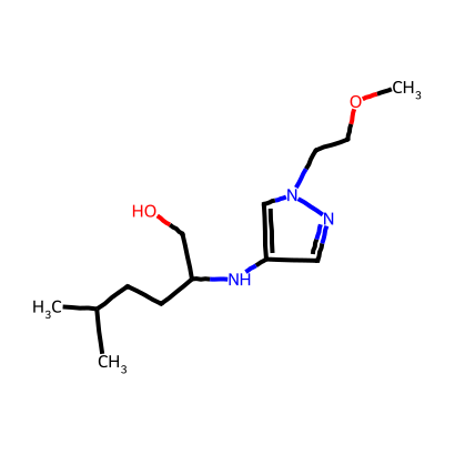 COCCn1cc(NC(CO)CCC(C)C)cn1